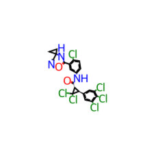 N#CC1(NC(=O)c2cc(NC(=O)[C@@H]3[C@@H](c4cc(Cl)c(Cl)c(Cl)c4)C3(Cl)Cl)ccc2Cl)CC1